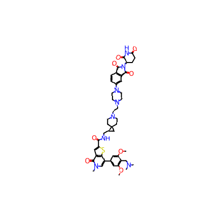 COc1cc(-c2cn(C)c(=O)c3cc(C(=O)NCC4CC45CCN(CCN4CCN(c6ccc7c(c6)C(=O)N(C6CCC(=O)NC6=O)C7=O)CC4)CC5)sc23)cc(OC)c1CN(C)C